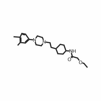 CCOCC(=O)NC1CCC(CCN2CCN(c3ccc(C)c(C)c3)CC2)CC1